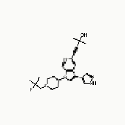 CC(C)(O)C#Cc1cc2c(-c3cn[nH]c3)cn(C3CCN(CC(F)(F)F)CC3)c2cn1